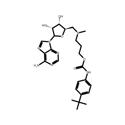 CN(CCCOC(=O)Nc1ccc(C(C)(C)C)cc1)C[C@H]1OC(n2cnc3c(N)ncnc32)[C@H](O)[C@@H]1O